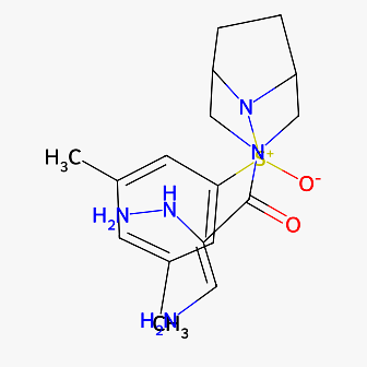 Cc1cc(C)cc([S+]([O-])N2C3CCC2CN(C(=O)/C(=C/N)NN)C3)c1